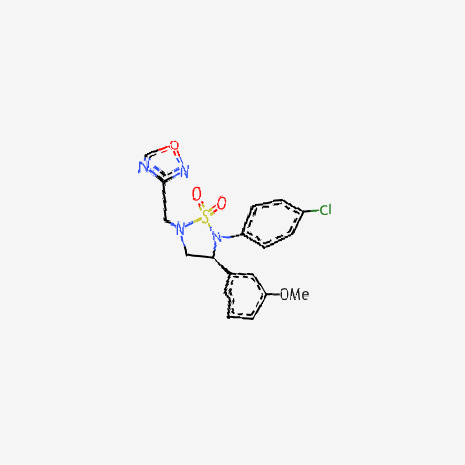 COc1cccc([C@H]2CN(Cc3ncon3)S(=O)(=O)N2c2ccc(Cl)cc2)c1